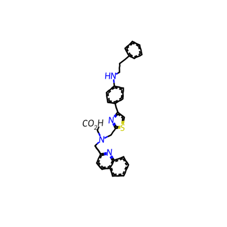 O=C(O)CN(Cc1ccc2ccccc2n1)Cc1nc(-c2ccc(NCCc3ccccc3)cc2)cs1